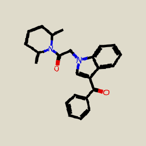 CC1CCCC(C)N1C(=O)Cn1cc(C(=O)c2ccccc2)c2ccccc21